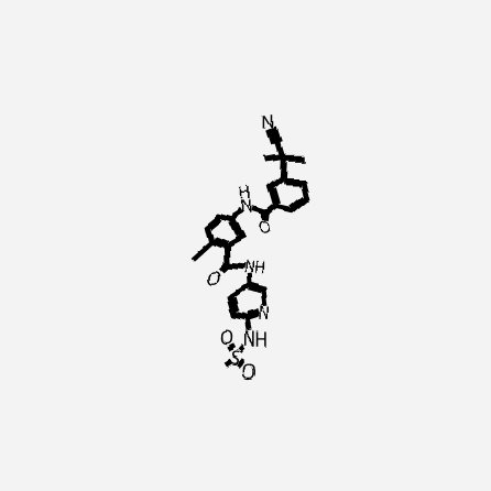 Cc1ccc(NC(=O)c2cccc(C(C)(C)C#N)c2)cc1C(=O)Nc1ccc(NS(C)(=O)=O)nc1